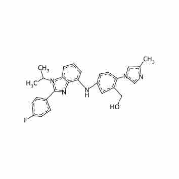 Cc1cn(-c2ccc(Nc3cccc4c3nc(-c3ccc(F)cc3)n4C(C)C)cc2CO)cn1